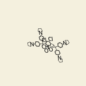 [CH]C(c1ccc(N2CCCC2)cc1)(c1ccc(N2CCCC2)cc1)c1c(Cl)c(Cl)c2c3c1C(=O)OC31C2C1(c1ccc(N2CCCC2)cc1)c1ccc(N2CCCC2)cc1